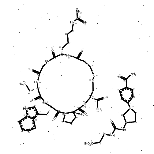 CCOC(=O)CCNC(=O)NC1CCN(c2ccc(C(=N)N)cc2)C1.N=C(N)NCCCC[C@@H]1NC(=O)CCSSC[C@@H](C(N)=O)NC(=O)[C@@H]2CCCN2C(=O)[C@H](Cc2c[nH]c3ccccc23)NC(=O)[C@H](CC(=O)O)NC(=O)CNC1=O